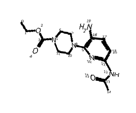 CCOC(=O)N1CCN(c2nc(NC(C)=O)ccc2N)CC1